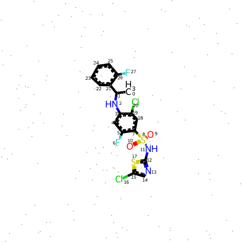 CC(Nc1cc(F)c(S(=O)(=O)Nc2ncc(Cl)s2)cc1Cl)c1ccccc1F